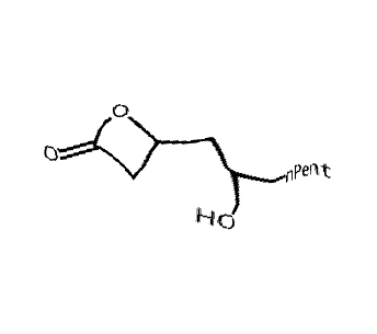 CCCCCC(O)CC1CC(=O)O1